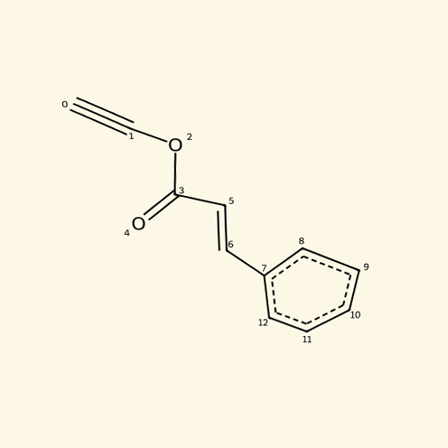 C#COC(=O)/C=C/c1ccccc1